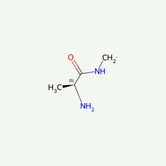 [CH2]NC(=O)[C@H](C)N